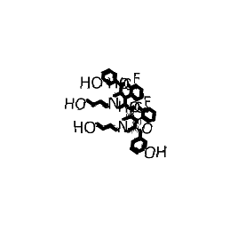 Cc1c(F)cccc1C1C(C(=O)c2cccc(O)c2)CN(CCCCO)CC1C(=O)[C@@H]1CN(CCCCO)C[C@H](C(=O)c2cccc(O)c2)[C@@H]1c1cccc(F)c1C